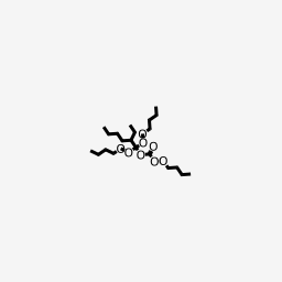 CCCCOOC(=O)OC(OOCCCC)(OOCCCC)C(CC)CCCC